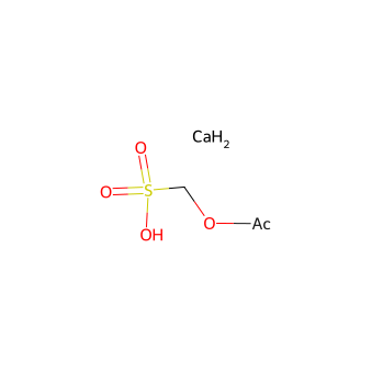 CC(=O)OCS(=O)(=O)O.[CaH2]